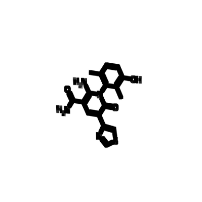 Cc1ccc(O)c(C)c1-n1c(N)c(C(N)=O)cc(-c2cscn2)c1=O